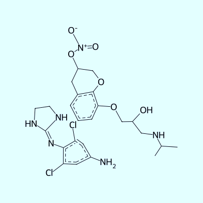 CC(C)NCC(O)COc1cccc2c1OCC(O[N+](=O)[O-])C2.Nc1cc(Cl)c(N=C2NCCN2)c(Cl)c1